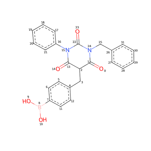 O=C1C(Cc2ccc(B(O)O)cc2)C(=O)N(c2ccccc2)C(=O)N1Cc1ccccc1